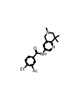 CCc1ccc(C(=O)Nc2cnc3c(c2)CN(C)CC3(C)C)cc1C(C)=O